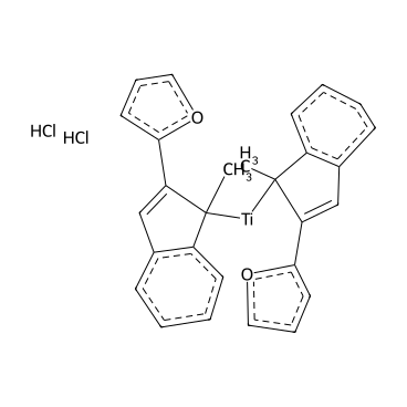 C[C]1([Ti][C]2(C)C(c3ccco3)=Cc3ccccc32)C(c2ccco2)=Cc2ccccc21.Cl.Cl